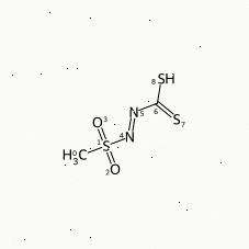 CS(=O)(=O)N=NC(=S)S